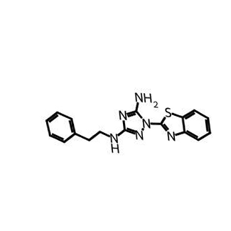 Nc1nc(NCCc2ccccc2)nn1-c1nc2ccccc2s1